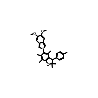 COc1cc2cn(-c3c(C)c(C)c4c(c3C)C(c3ccc(C)cc3)C(C)(C)O4)cc2cc1OC